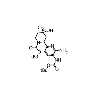 CC(C)(C)OC(=O)Nc1ccc(C2CC(O)(C(F)(F)F)CCN2C(=O)OC(C)(C)C)nc1N